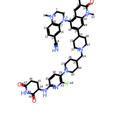 Cc1cc2c(N3CCN(C)c4ccc(C#N)cc43)cc(C3CCN(CC4CCN(c5ccc(NC6CCC(=O)NC6=O)nc5F)CC4)CC3)cc2n(C)c1=O